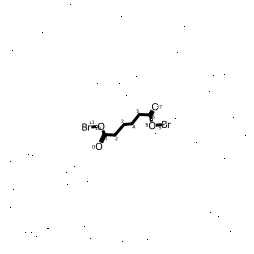 O=C(CCCCC(=O)OBr)OBr